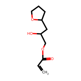 C=CC(=O)OCC(O)CC1CCCO1